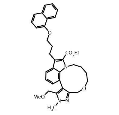 CCOC(=O)c1c(CCCOc2cccc3ccccc23)c2cccc3c2n1CCCCOCc1nn(C)c(COC)c1-3